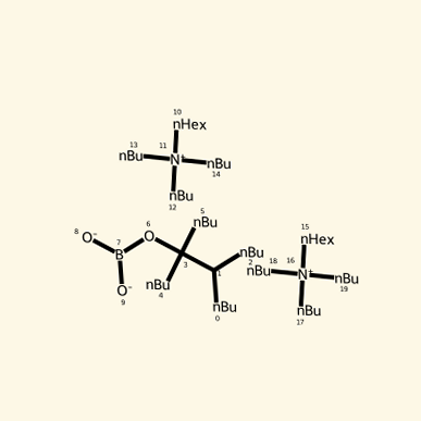 CCCCC(CCCC)C(CCCC)(CCCC)OB([O-])[O-].CCCCCC[N+](CCCC)(CCCC)CCCC.CCCCCC[N+](CCCC)(CCCC)CCCC